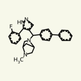 CN1CC2CC1CN2C(c1ccc(-c2ccccc2)cc1)c1cn[nH]c1-c1ccccc1F